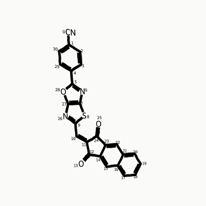 N#Cc1ccc(-c2nc3sc(C=C4C(=O)c5cc6ccccc6cc5C4=O)nc3o2)cc1